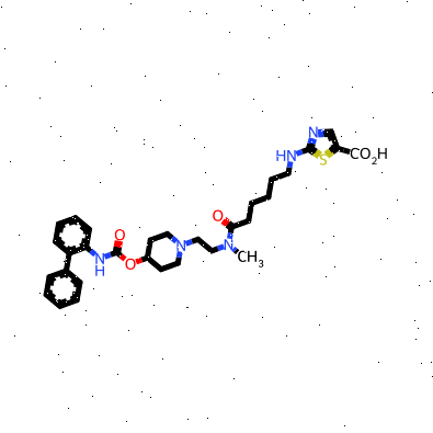 CN(CCN1CCC(OC(=O)Nc2ccccc2-c2ccccc2)CC1)C(=O)CCCCCNc1ncc(C(=O)O)s1